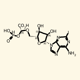 Nc1nc(I)nc2c1ncn2[C@@H]1O[C@H](CO[C@H](O[PH](=O)O)C(=O)O)[C@@H](O)[C@H]1O